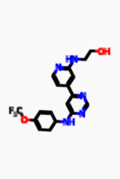 OCCNc1cc(-c2cc(NC3C=CC(OC(F)(F)F)=CC3)ncn2)ccn1